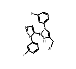 Fc1cccc(N2C=C(CBr)NN2c2cnnn2-c2cccc(F)c2)c1